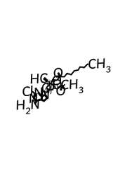 C#C[C@]1(COC(=O)CCCCCCCCC)O[C@@H](n2ccc3c(N)nc(Cl)nc32)C[C@@H]1OC(C)=O